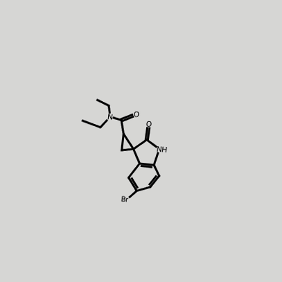 CCN(CC)C(=O)C1CC12C(=O)Nc1ccc(Br)cc12